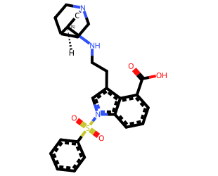 O=C(O)c1cccc2c1c(CCN[C@@H]1CN3CCC1CC3)cn2S(=O)(=O)c1ccccc1